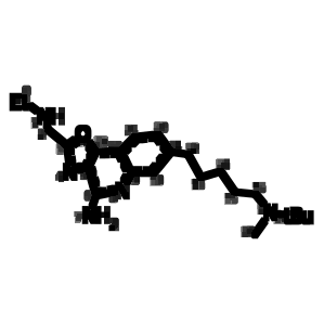 CCNCc1nc2c(N)nc3cc(CCCCCN(C)C(C)(C)C)ccc3c2o1